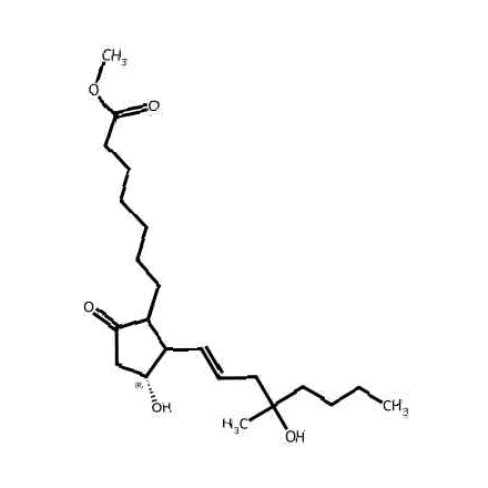 CCCCC(C)(O)CC=CC1C(CCCCCCC(=O)OC)C(=O)C[C@H]1O